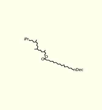 CCCCCCCCCCCCCCCCCCCCCCCCCC(=O)OCCC(C)CCCC(C)CCCC(C)CCCC(C)C